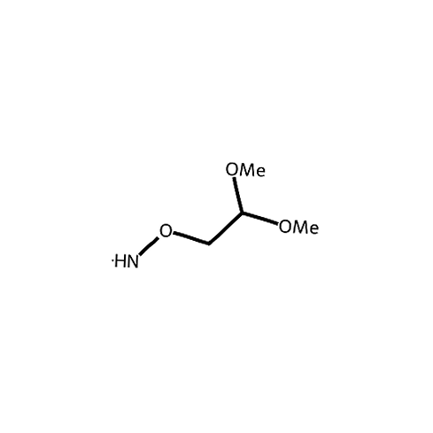 COC(CO[NH])OC